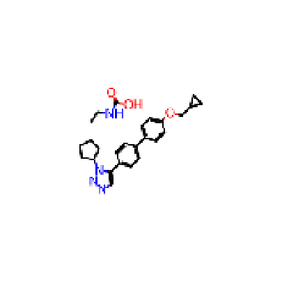 CCNC(=O)O.c1cc(-c2ccc(-c3cnnn3C3CCCC3)cc2)ccc1OCC1CC1